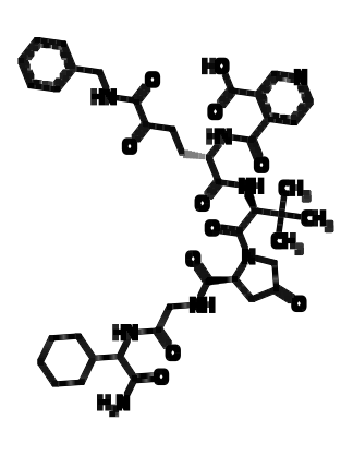 CC(C)(C)[C@H](NC(=O)[C@H](CCC(=O)C(=O)NCc1ccccc1)NC(=O)c1ccncc1C(=O)O)C(=O)N1CC(=O)C[C@H]1C(=O)NCC(=O)NC(C(N)=O)C1CCCCC1